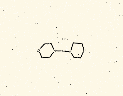 C1C[N]([Al+][N]2CCOCC2)CCO1.[H-]